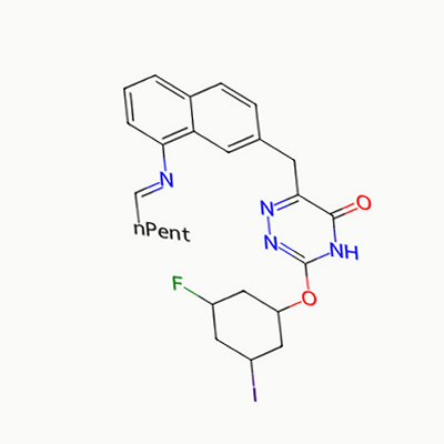 CCCCCC=Nc1cccc2ccc(Cc3nnc(OC4CC(F)CC(I)C4)[nH]c3=O)cc12